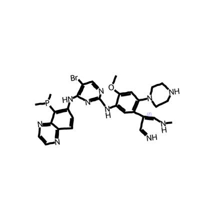 CN/C=C(\C=N)c1cc(Nc2ncc(Br)c(Nc3ccc4nccnc4c3P(C)C)n2)c(OC)cc1N1CCNCC1